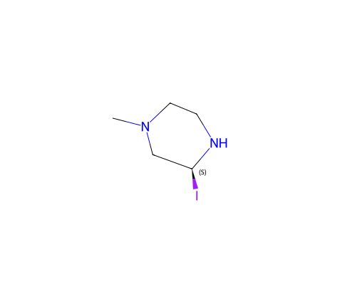 CN1CCN[C@@H](I)C1